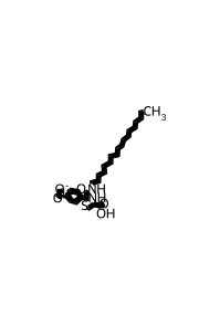 CCCCCCCCCCCCCCCCCCNC(=O)C1(c2ccc([N+](=O)[O-])cc2)NC(C(=O)O)CS1